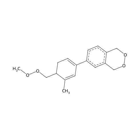 COOCC1CC=C(c2ccc3c(c2)COOC3)C=C1C